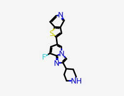 Fc1cc(-c2cc3cnccc3s2)cn2cc(C3CCNCC3)nc12